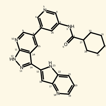 O=C(Nc1cncc(-c2cnc3[nH]nc(-c4cc5ncccc5[nH]4)c3c2)c1)C1CCCCC1